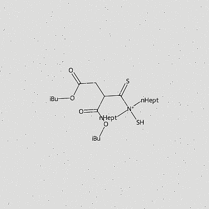 CCCCCCC[N+](S)(CCCCCCC)C(=S)C(CC(=O)OC(C)CC)C(=O)OC(C)CC